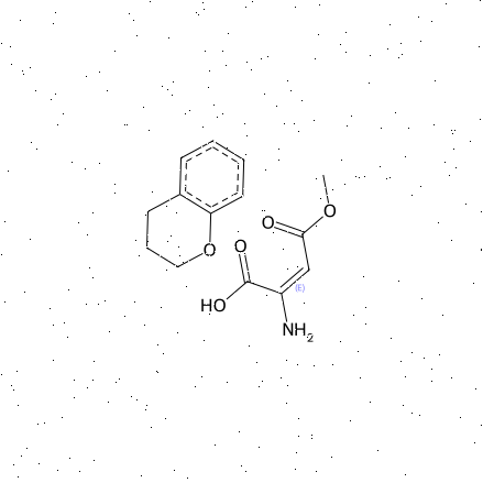 COC(=O)/C=C(/N)C(=O)O.c1ccc2c(c1)CCCO2